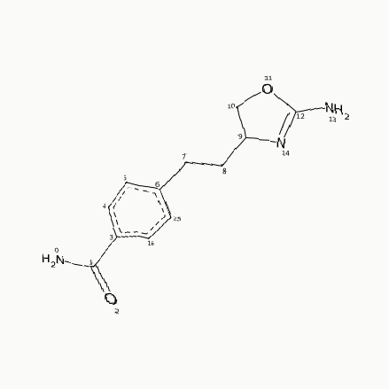 NC(=O)c1ccc(CCC2COC(N)=N2)cc1